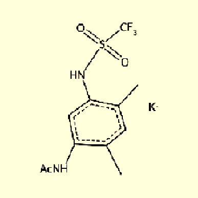 CC(=O)Nc1cc(NS(=O)(=O)C(F)(F)F)c(C)cc1C.[K]